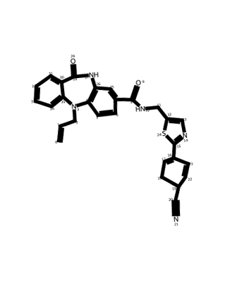 C=CCN1c2ccc(C(=O)NCc3cnc(C4=CCC(C#N)C=C4)s3)cc2NC(=O)c2ccccc21